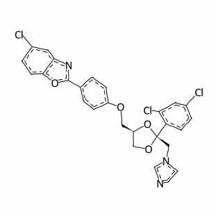 Clc1ccc([C@]2(Cn3ccnc3)OC[C@@H](COc3ccc(-c4nc5cc(Cl)ccc5o4)cc3)O2)c(Cl)c1